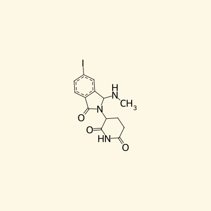 CNC1c2cc(I)ccc2C(=O)N1C1CCC(=O)NC1=O